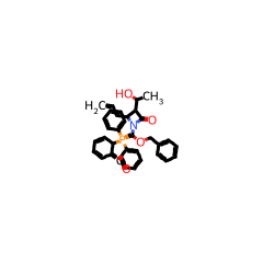 C=CCC1C(C(C)O)C(=O)N1C(OCc1ccccc1)=P(c1ccccc1)(c1ccccc1)C1C=CC=CC1=C=O